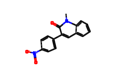 Cn1c(=O)c(-c2ccc([N+](=O)[O-])cc2)cc2ccccc21